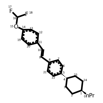 CCC[C@H]1CC[C@H](c2ccc(C=Cc3ccc(OC(F)F)cc3)cc2)CC1